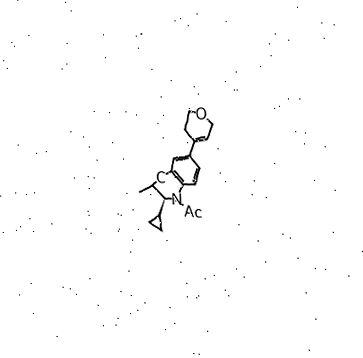 CC(=O)N1c2ccc(C3=CCOCC3)cc2CC(C)[C@@H]1C1CC1